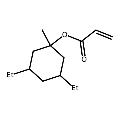 C=CC(=O)OC1(C)CC(CC)CC(CC)C1